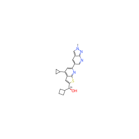 Cn1cc2cc(-c3cc(C4CC4)c4cc([C@@H](O)C5CCC5)sc4n3)cnc2n1